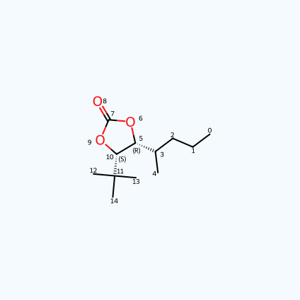 CCCC(C)[C@H]1OC(=O)O[C@H]1C(C)(C)C